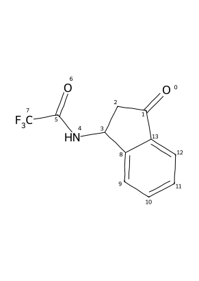 O=C1CC(NC(=O)C(F)(F)F)c2ccccc21